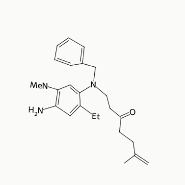 C=C(C)CCC(=O)CCN(Cc1ccccc1)c1cc(NC)c(N)cc1CC